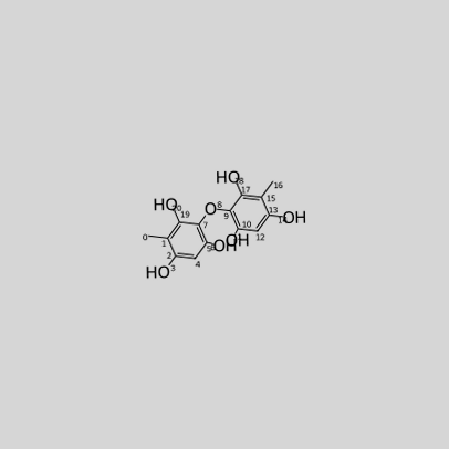 Cc1c(O)cc(O)c(Oc2c(O)cc(O)c(C)c2O)c1O